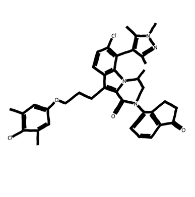 Cc1cc(OCCCc2c3n(c4c(-c5c(C)nn(C)c5C)c(Cl)ccc24)C(C)CN(c2cccc4c2CCC4=O)C3=O)cc(C)c1Cl